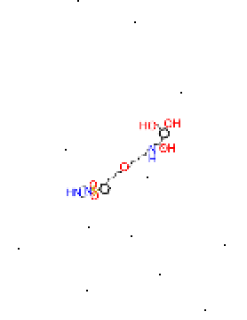 O=S(=O)(c1cccc(CCCCOCCCCCCNC[C@H](O)c2ccc(O)c(CO)c2)c1)N1CCNCC1